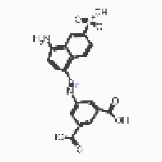 Nc1ccc(/N=N/c2cc(C(=O)O)cc(C(=O)O)c2)c2ccc(S(=O)(=O)O)cc12